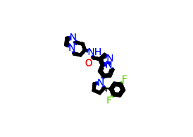 O=C(NC1CCn2ccnc2C1)c1cnn2ccc(N3CCC[C@@H]3c3cc(F)ccc3F)cc12